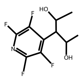 CC(O)C(c1c(F)c(F)nc(F)c1F)C(C)O